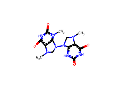 CN1CN(N2CN(C)c3c2n(C)c(=O)[nH]c3=O)c2[nH]c(=O)[nH]c(=O)c21